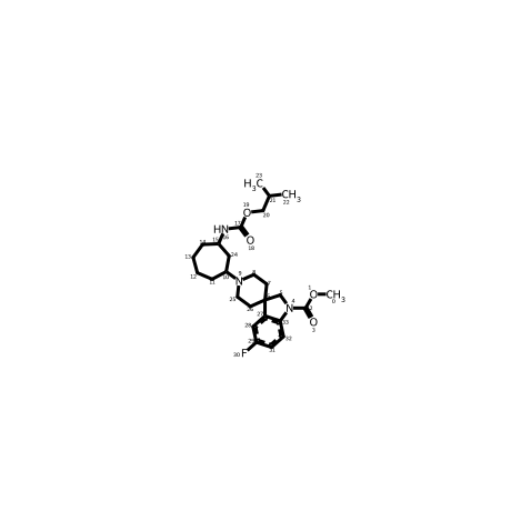 COC(=O)N1CC2(CCN(C3CCCCC(NC(=O)OCC(C)C)C3)CC2)c2cc(F)ccc21